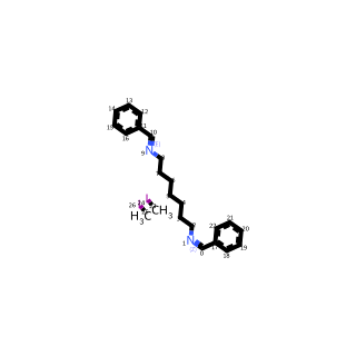 C(=N/CCCCCCC/N=C/c1ccccc1)/c1ccccc1.CI.CI